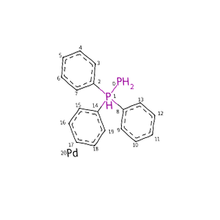 P[PH](c1ccccc1)(c1ccccc1)c1ccccc1.[Pd]